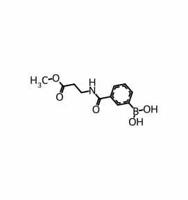 COC(=O)CCNC(=O)c1cccc(B(O)O)c1